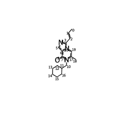 CC=Cc1ncc2c(=O)n(CC3CCCCC3)c(C)cn12